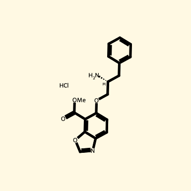 COC(=O)c1c(OC[C@H](N)Cc2ccccc2)ccc2ncoc12.Cl